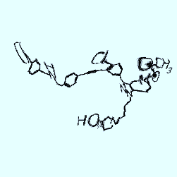 CS(=O)(=O)N1CCc2c(c(-c3ccc(Cl)c(C#Cc4ccc(CNCc5ccc(Cl)cc5)cc4)c3)nn2CCCN2CC[C@H](O)C2)C1